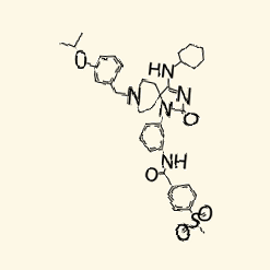 CC(C)Oc1cccc(CN2CCC3(CC2)C(NC2CCCCC2)=NC(=O)N3c2cccc(NC(=O)c3ccc(S(C)(=O)=O)cc3)c2)c1